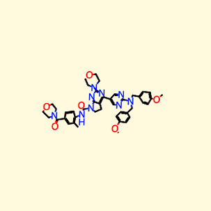 COc1ccc(CN(Cc2ccc(OC)cc2)c2ncc(-c3nc(N4CCOCC4)nc4c3CCN4C(=O)Nc3ccc(C(=O)N4CCOCC4)cc3C)cn2)cc1